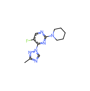 Cc1ncn(-c2nc(N3CCCCC3)ncc2F)n1